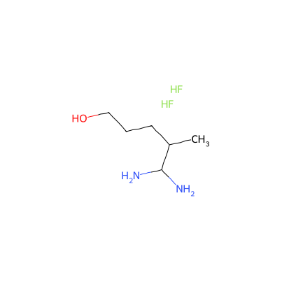 CC(CCCO)C(N)N.F.F